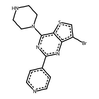 Brc1csc2c(N3CCNCC3)nc(-c3ccncc3)nc12